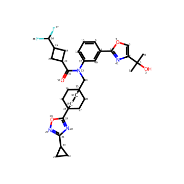 CC(C)(O)c1coc(-c2cccc(N(CC34CCC(c5nc(C6CC6)no5)(CC3)CC4)C(=O)C3CC(C(F)F)C3)c2)n1